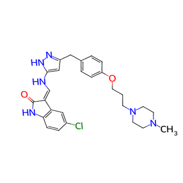 CN1CCN(CCCOc2ccc(Cc3cc(NC=C4C(=O)Nc5ccc(Cl)cc54)[nH]n3)cc2)CC1